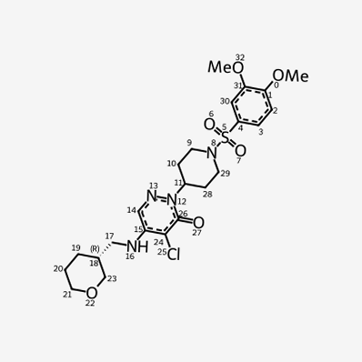 COc1ccc(S(=O)(=O)N2CCC(n3ncc(NC[C@H]4CCCOC4)c(Cl)c3=O)CC2)cc1OC